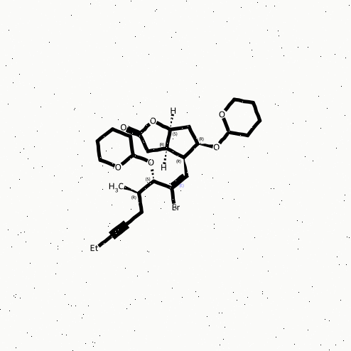 CCC#CC[C@@H](C)[C@H](OC1CCCCO1)/C(Br)=C\[C@H]1[C@H]2CC(=O)O[C@H]2C[C@H]1OC1CCCCO1